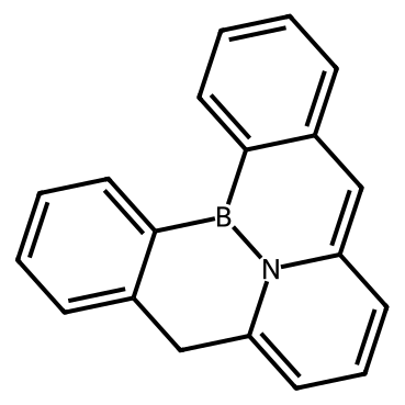 C1=CC2=Cc3ccccc3B3c4ccccc4CC(=C1)N32